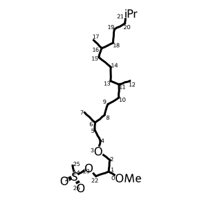 COC(COCCC(C)CCCC(C)CCCC(C)CCCC(C)C)COS(C)(=O)=O